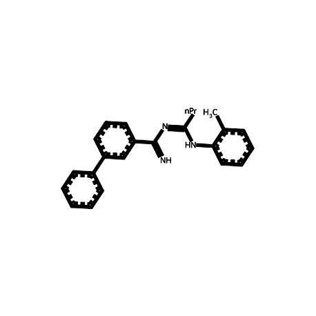 CCC/C(=N/C(=N)c1cccc(-c2ccccc2)c1)Nc1ccccc1C